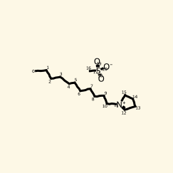 CCCCCCCCCCC[N+]1=CCCC1.CS(=O)(=O)[O-]